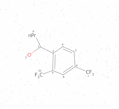 CCCC([O])c1ccc(C(F)(F)F)cc1C(F)(F)F